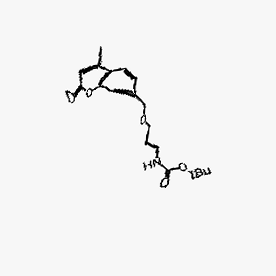 Cc1cc(=O)oc2cc(COCCCNC(=O)OC(C)(C)C)ccc12